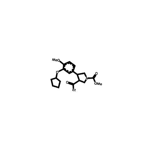 CCC(=O)C1CN(C(=O)OC)CC1c1ccc(OC)c(OC2CCCC2)c1